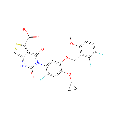 COc1ccc(F)c(F)c1COc1cc(-n2c(=O)[nH]c3csc(C(=O)O)c3c2=O)c(F)cc1OC1CC1